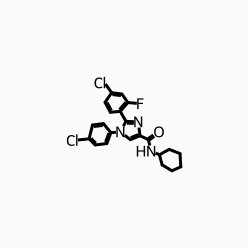 O=C(NC1CCCCC1)c1cn(-c2ccc(Cl)cc2)c(-c2ccc(Cl)cc2F)n1